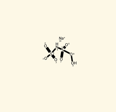 O=S(=O)([O-])NS(=O)(=O)OO.[Na+]